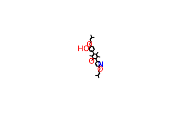 COc1c(C)c(-c2ccc(OCC=C(C)C)c(O)c2)c(C)c(C)c1-c1ccc(OCC=C(C)C)nc1